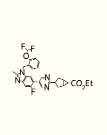 CCOC(=O)C1C2CC(c3ncc(-c4cc5c(cc4F)nc(C)n5Cc4ccccc4OC(F)F)cn3)CC21